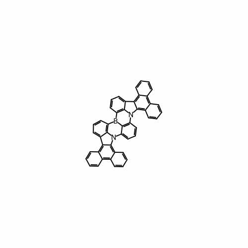 c1cc2c3c(c1)-n1c4c(cccc4c4c5ccccc5c5ccccc5c41)B3c1cccc3c4c5ccccc5c5ccccc5c4n-2c13